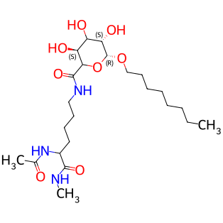 CCCCCCCCO[C@@H]1OC(C(=O)NCCCCC(NC(C)=O)C(=O)NC)[C@@H](O)C(O)[C@@H]1O